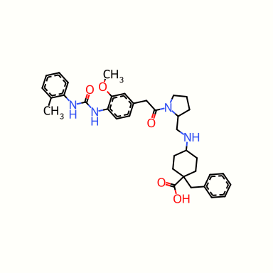 COc1cc(CC(=O)N2CCCC2CNC2CCC(Cc3ccccc3)(C(=O)O)CC2)ccc1NC(=O)Nc1ccccc1C